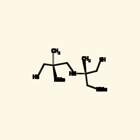 CNC[C@@](C)(CS)NC[C@@](C)(CS)NC